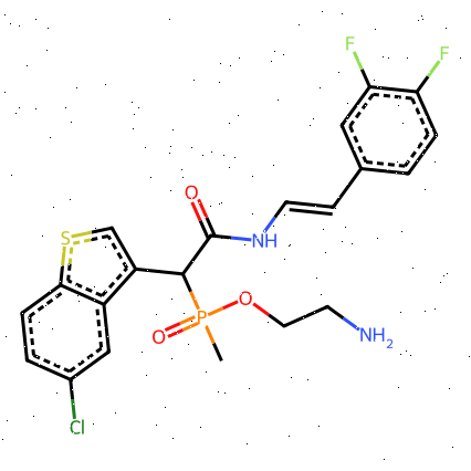 CP(=O)(OCCN)C(C(=O)NC=Cc1ccc(F)c(F)c1)c1csc2ccc(Cl)cc12